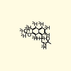 [2H]c1c([2H])c(C([2H])([2H])CN([2H])C(C)=O)c2c([2H])c(OC([2H])([2H])[2H])c([2H])c([2H])c2c1[2H]